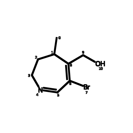 CC1CCN=CC(Br)=C1CO